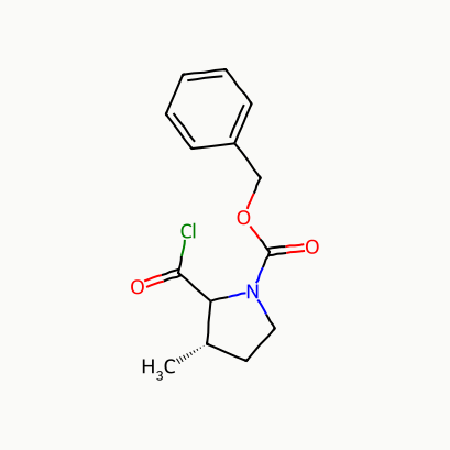 C[C@H]1CCN(C(=O)OCc2ccccc2)C1C(=O)Cl